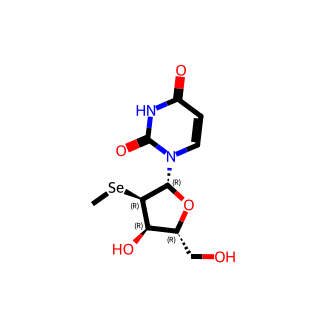 C[Se][C@@H]1[C@H](O)[C@@H](CO)O[C@H]1n1ccc(=O)[nH]c1=O